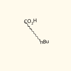 CCCCC=CCCCCCCCC=CC=CCCC(=O)O